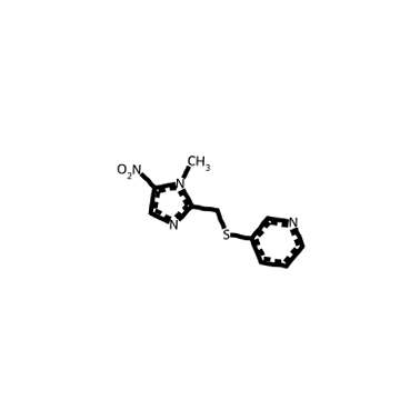 Cn1c([N+](=O)[O-])cnc1CSc1cccnc1